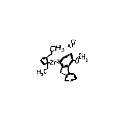 CCC1=CC=C[C]1(CC)[Zr+2][c]1ccc(OC)c2c1Cc1ccccc1-2.[Cl-].[Cl-]